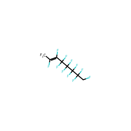 FCC(F)(F)C(F)(F)C(F)(F)C(F)(F)/C(F)=C(\F)C(F)(F)F